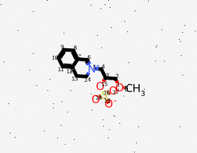 COCC(C[N+]1=Cc2ccccc2CC1)OS(=O)(=O)[O-]